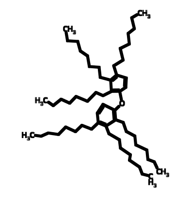 CCCCCCCCc1ccc(Oc2ccc(CCCCCCCC)c(CCCCCCCC)c2CCCCCCCC)c(CCCCCCCC)c1CCCCCCCC